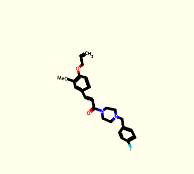 C=CCOc1ccc(/C=C/C(=O)N2CCN(Cc3ccc(F)cc3)CC2)cc1OC